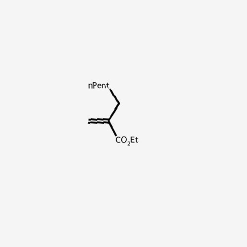 C=C(CCCCCC)C(=O)OCC